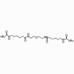 CCCCC(=O)NCCCCCC(=O)NCCOCCNC(=O)CCCCCNC(=O)CCCC